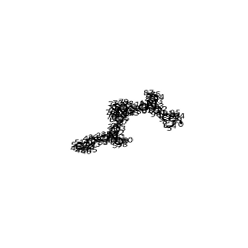 C=CC1=C(/C=C\C)c2ccc(-c3ccc(N(c4ccc(-c5cc6c7c(c5)c5cc(-c8ccc(N(c9ccc(-c%10ccc%11c(c%10)C(C)(C)c%10ccccc%10-%11)cc9)c9cccc(C)c9)cc8)cc8c5n7-c5c(cccc5C8(C)C)C6(C)C)cc4)c4cccc(C)c4)cc3)cc2C1(C)C